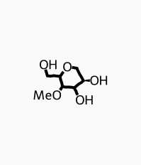 COC1C(CO)OC[C@@H](O)C1O